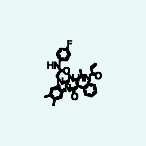 C=CC(=O)Nc1ccccc1-c1c(CC)nc2n(CC(=O)Nc3ccc(F)cc3)c3cc(C)c(C)cc3n2c1=O